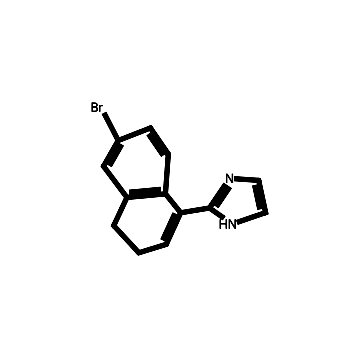 Brc1ccc2c(c1)CCC=C2c1ncc[nH]1